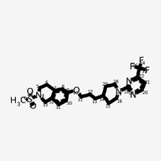 CS(=O)(=O)N1CCc2cc(OCCCC3CCN(c4nccc(C(F)(F)F)n4)CC3)ccc2C1